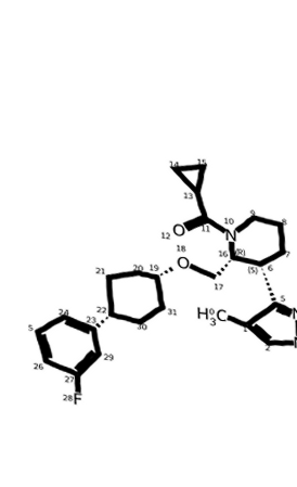 Cc1c[nH]nc1[C@H]1CCCN(C(=O)C2CC2)[C@H]1CO[C@H]1CC[C@@H](c2cccc(F)c2)CC1